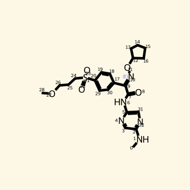 CNc1cnc(NC(=O)/C(=N/OC2CCCC2)c2ccc(S(=O)(=O)CCCOC)cc2)cn1